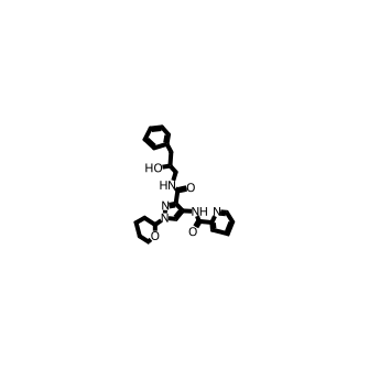 O=C(Nc1cn(C2CCCCO2)nc1C(=O)NCC(O)Cc1ccccc1)c1ccccn1